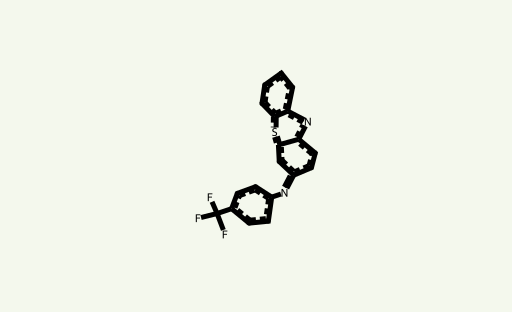 FC(F)(F)c1ccc(N=c2ccc3nc4ccccc4sc-3c2)cc1